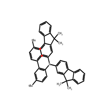 CC(C)(C)c1ccc(-c2cc(C(C)(C)C)ccc2N(c2ccc3c(c2)C(C)(C)c2ccccc2-3)c2ccc3c(c2)C(C)(C)c2ccccc2-3)cc1